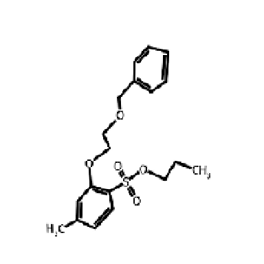 CCCOS(=O)(=O)c1ccc(C)cc1OCCOCc1ccccc1